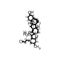 CC1=C2C[C@H]3C(CC=C4CC(O)CCC43C)[C@@H]2CC[C@]12OC1CC(C)CN(CCCl)C1[C@H]2C